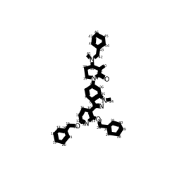 CC1C(=O)N(c2ccc3c(-c4ccc(OCc5ccccc5)nc4OCc4ccccc4)nn(C)c3c2)CCC1N(C)Cc1ccccc1